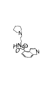 O=S(=O)(NCCCN1CCCCC1)c1cccc2cnccc12